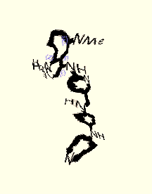 C\C=C(Nc1ccc(CNc2ccc(Nc3ccncc3)cc2)cn1)/C1=C/C(NC)=C\CC\C=C\1N